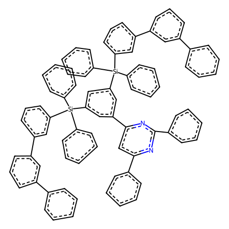 c1ccc(-c2cccc(-c3cccc([Si](c4ccccc4)(c4ccccc4)c4cc(-c5cc(-c6ccccc6)nc(-c6ccccc6)n5)cc([Si](c5ccccc5)(c5ccccc5)c5cccc(-c6cccc(-c7ccccc7)c6)c5)c4)c3)c2)cc1